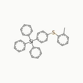 Cc1ccccc1Sc1ccc([Si](c2ccccc2)(c2ccccc2)c2ccccc2)cc1